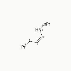 CCCN/C=C\CC(C)C